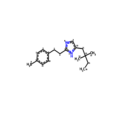 Bc1ccc(CCc2ncc(CC(C)(C)CC)[nH]2)cc1